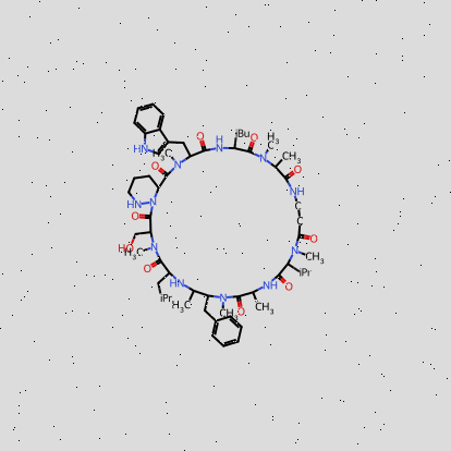 CCC(C)C1NC(=O)C(Cc2c[nH]c3ccccc23)N(C)C(=O)C2CCCNN2C(=O)C(CO)N(C)C(=O)C(CC(C)C)NC(C)C(Cc2ccccc2)N(C)C(=O)C(C)NC(=O)C(C(C)C)N(C)C(=O)CCNC(=O)C(C)N(C)C1=O